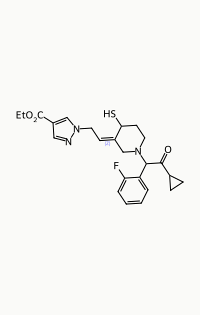 CCOC(=O)c1cnn(C/C=C2/CN(C(C(=O)C3CC3)c3ccccc3F)CCC2S)c1